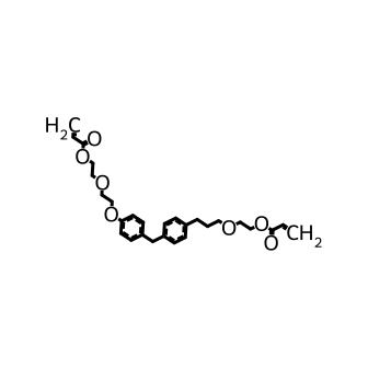 C=CC(=O)OCCOCCCc1ccc(Cc2ccc(OCCOCCOC(=O)C=C)cc2)cc1